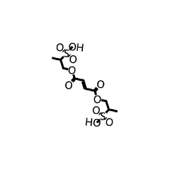 CC(COC(=O)/C=C/C(=O)OCC(C)S(=O)(=O)O)S(=O)(=O)O